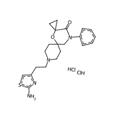 Cl.Cl.Nc1nc(CCN2CCC3(CC2)CN(c2ccccc2)C(=O)C2(CC2)O3)cs1